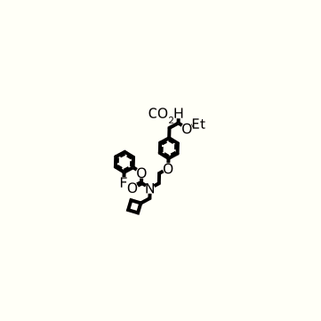 CCOC(Cc1ccc(OCCN(CC2CCC2)C(=O)Oc2ccccc2F)cc1)C(=O)O